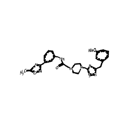 COc1cccc(Cc2nsc(N3CCN(C(=O)Nc4cccc(-c5noc(C)n5)c4)CC3)n2)c1